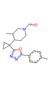 Cc1ccc(-c2nnc(C3(C4CCN(C=O)CC4C)CC3)o2)cc1